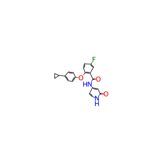 O=C(Nc1cc[nH]c(=O)c1)c1cc(F)ccc1Oc1ccc(C2CC2)cc1